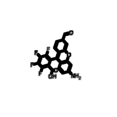 Nc1ccc2c(c1)OC1=CC(C=O)C=CC1=C2c1c(F)c(F)c(F)c(F)c1C(=O)O